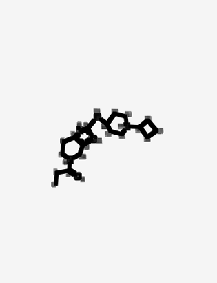 CCC(=O)N1CCc2nc(OC3CCN(C4CCC4)CC3)oc2C1